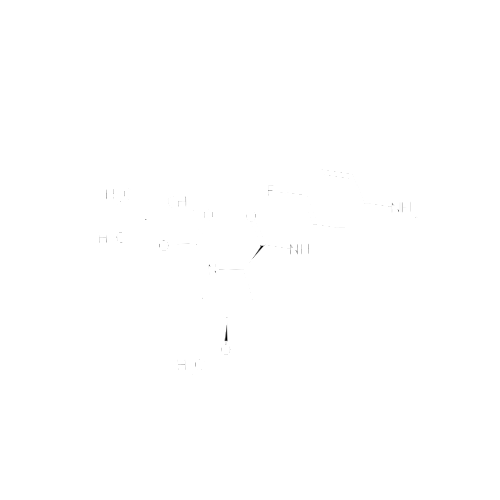 CO[C@@H]1C[C@H](C(=O)Nc2cc(N)ccc2F)N(C(=O)OC(C)(C)C)C1